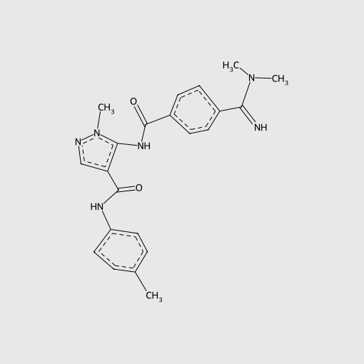 Cc1ccc(NC(=O)c2cnn(C)c2NC(=O)c2ccc(C(=N)N(C)C)cc2)cc1